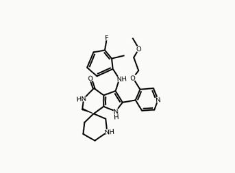 COCCOc1cnccc1-c1[nH]c2c(c1Nc1cccc(F)c1C)C(=O)NC[C@@]21CCCNC1